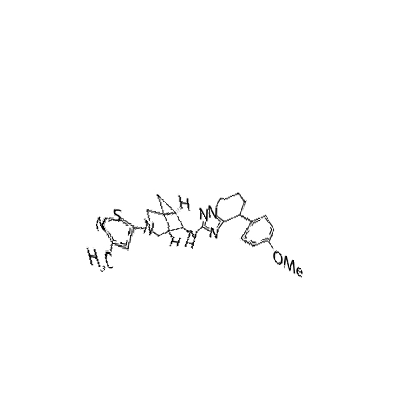 COc1ccc(C2CCCn3nc(N[C@H]4[C@@H]5CN(c6cc(C)ns6)CC56C[C@@H]46)nc32)cc1